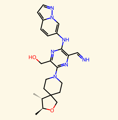 C[C@@H]1OCC2(CCN(c3nc(C=N)c(Nc4ccc5ccnn5c4)nc3CO)CC2)[C@H]1C